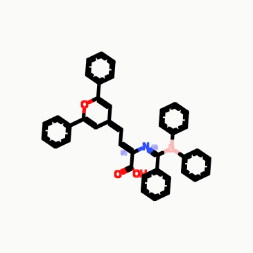 O=C(O)C(=C/C=C1C=C(c2ccccc2)OC(c2ccccc2)=C1)/N=C(/B(c1ccccc1)c1ccccc1)c1ccccc1